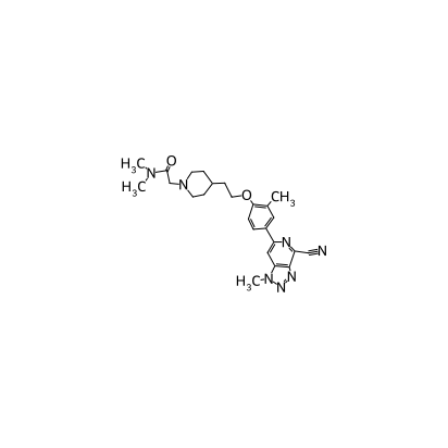 Cc1cc(-c2cc3c(nnn3C)c(C#N)n2)ccc1OCCC1CCN(CC(=O)N(C)C)CC1